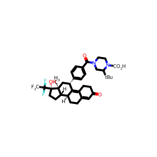 CC(C)(C)C1CN(C(=O)c2ccc([C@H]3C[C@@]4(C)[C@@H](CC[C@@]4(O)C(F)(F)C(F)(F)F)[C@@H]4CCC5=CC(=O)CCC5=C43)cc2)CCN1C(=O)O